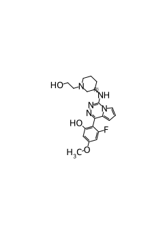 COc1cc(O)c(-c2nnc(N[C@@H]3CCCN(CCO)C3)n3cccc23)c(F)c1